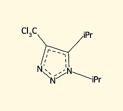 CC(C)c1c(C(Cl)(Cl)Cl)nnn1C(C)C